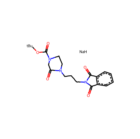 CC(C)(C)OC(=O)N1CCN(CCCN2C(=O)c3ccccc3C2=O)C(=O)C1.[NaH]